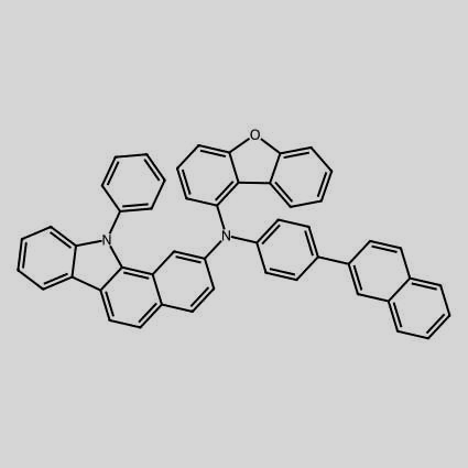 c1ccc(-n2c3ccccc3c3ccc4ccc(N(c5ccc(-c6ccc7ccccc7c6)cc5)c5cccc6oc7ccccc7c56)cc4c32)cc1